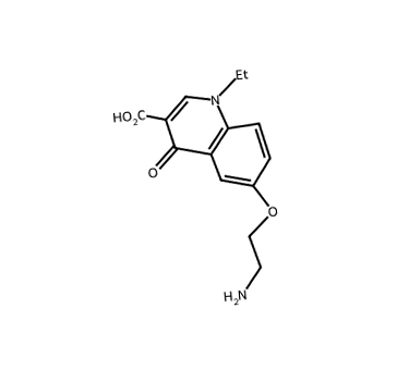 CCn1cc(C(=O)O)c(=O)c2cc(OCCN)ccc21